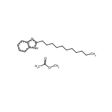 CCCCCCCCCCCc1nc2ccccc2[nH]1.COC(C)=O